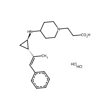 C/C(=C\c1ccccc1)[C@@H]1C[C@H]1NC1CCN(CCC(=O)O)CC1.Cl.Cl